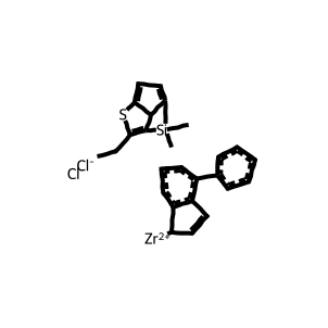 CCC1=C2C3C(=CC=C3[Si]2(C)C)S1.[Cl-].[Cl-].[Zr+2][CH]1C=Cc2c(-c3ccccc3)cccc21